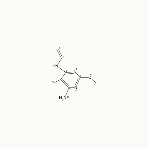 C=CNc1nc(OC)nc(N)c1C